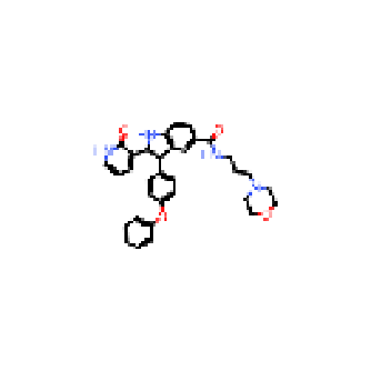 O=C(NCCCN1CCOCC1)c1ccc2c(c1)C(c1ccc(Oc3ccccc3)cc1)C(c1ccc[nH]c1=O)N2